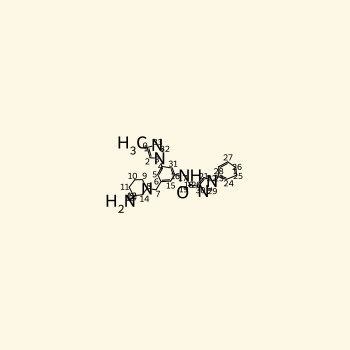 Cc1cn(-c2cc(CN3CCC[C@H](N)C3)cc(NC(=O)c3cn(-c4ccccc4)cn3)c2)cn1